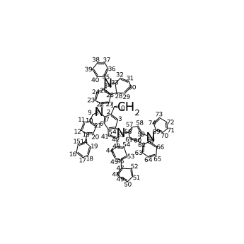 C=Cc1cc2c(cc1N(Cc1ccc(-c3ccccc3)cc1)c1ccc3c(c1)C1C=CC=CC1N3c1ccccc1)cc(-c1ccc(-c3ccccc3)cc1)n2-c1ccc2c(c1)c1ccccc1n2-c1ccccc1